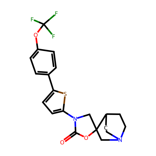 O=C1OC2(CN3CCC2CC3)CN1c1ccc(-c2ccc(OC(F)(F)F)cc2)s1